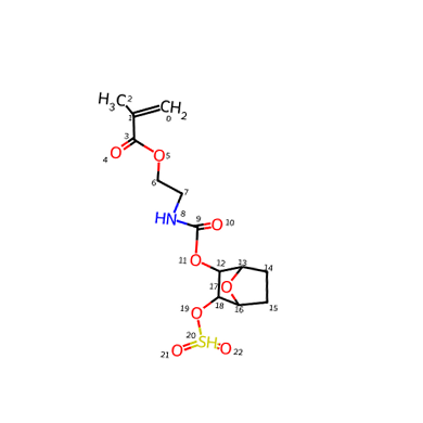 C=C(C)C(=O)OCCNC(=O)OC1C2CCC(O2)C1O[SH](=O)=O